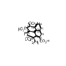 O=C(O)c1c(C(=O)O)c2c(F)cc(C(=O)O)c3c(C(=O)O)cc4cccc1c4c32